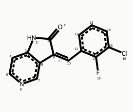 O=C1Nc2ccncc2/C1=C/c1cccc(Cl)c1F